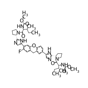 CC[C@H](C)[C@H](NC(=O)OC)C(=O)N1CCC[C@H]1c1ncc(-c2ccc3c(c2)Cc2cc(F)c(-c4cnc([C@@H]5CCCN5C(=O)[C@@H](NC(=O)OC)[C@@H](C)CC)[nH]4)cc2O3)[nH]1